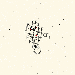 FC(F)(F)C(F)(F)C(F)(F)[C](F)(F)[Sn]([O]CCc1ccccc1)([C](F)(F)C(F)(F)C(F)(F)C(F)(F)F)[C](F)(F)C(F)(F)C(F)(F)C(F)(F)F